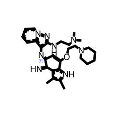 Cc1[nH]c2c(c1C)C(=N)/C(=N/c1c(NCCN(C)C)nn3ccccc13)C=C2OCCN1CCCCC1